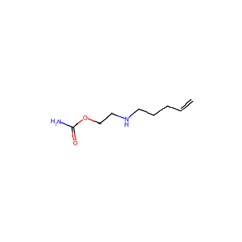 C=CCCCNCCOC(N)=O